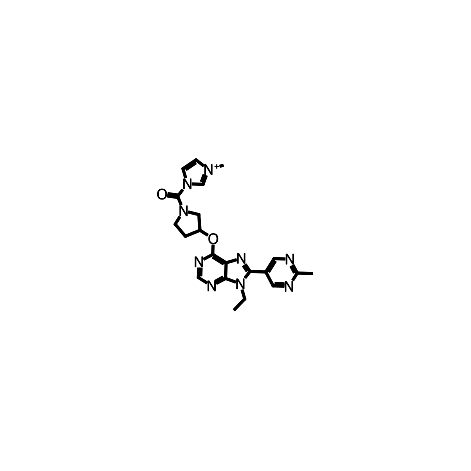 CCn1c(-c2cnc(C)nc2)nc2c(OC3CCN(C(=O)n4cc[n+](C)c4)C3)ncnc21